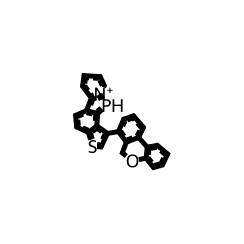 c1ccc2c(c1)OCc1c-2cccc1-c1csc2ccc3c([pH][n+]4ccccc34)c12